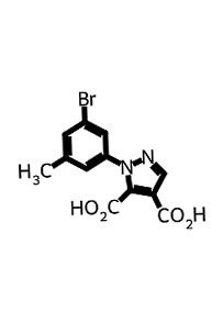 Cc1cc(Br)cc(-n2ncc(C(=O)O)c2C(=O)O)c1